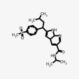 CC(C)CC(C1=CC2C=C(C(=O)NC(C)C)C=NC2N1)c1ccc(S(C)(=O)=O)cc1